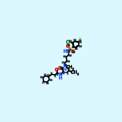 CC(C)C[C@H](NC(=O)CCC1CCCCC1)C(=O)NCCCCNS(=O)(=O)c1ccc(F)cc1Cl